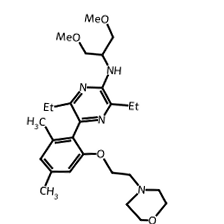 CCc1nc(-c2c(C)cc(C)cc2OCCN2CCOCC2)c(CC)nc1NC(COC)COC